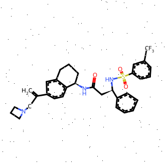 C=C(CN1CCC1)c1ccc2c(c1)CCC[C@H]2NC(=O)C[C@@H](NS(=O)(=O)c1cccc(C(F)(F)F)c1)c1ccccc1